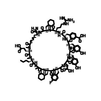 CCCC[C@H]1C(=O)NC(C)(C)C(=O)N[C@@H](CC2CCCCC2)C(=O)N[C@@H](Cc2ccc(F)cc2)C(=O)N[C@H](CC(=O)O)C(=O)N[C@@H](Cc2ccc(O)cc2)C(=O)N[C@@H](Cc2ccc(O)cc2)C(=O)N[C@@H](Cc2ccc(C(=O)O)cc2)C(=O)N[C@H](CCCNC(=N)N)C(=O)N[C@@H](CC2CCCCC2)C(=O)N[C@H](C(N)=O)CSCC(=O)N(C)[C@@H](CCC(=O)O)C(=O)N1C